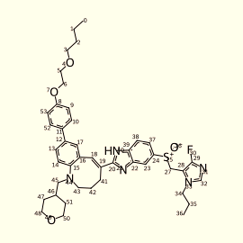 CCCCOCCOc1ccc(-c2ccc3c(c2)/C=C(/c2nc4cc([S@+]([O-])Cc5c(F)ncn5CCC)ccc4[nH]2)CCCN3CC2CCOCC2)cc1